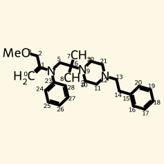 C=C(COC)N(CC(C)(C)N1CCN(CCc2ccccc2)CC1)c1ccccc1